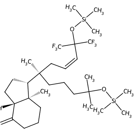 CC(C)(CCC[C@](C)(CC=CC(O[Si](C)(C)C)(C(F)(F)F)C(F)(F)F)[C@H]1CC[C@H]2C(=O)CCC[C@]12C)O[Si](C)(C)C